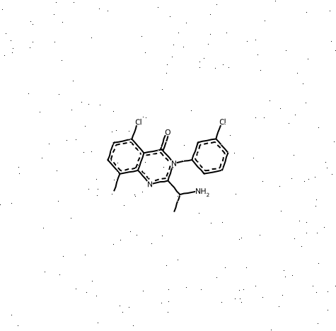 Cc1ccc(Cl)c2c(=O)n(-c3cccc(Cl)c3)c(C(C)N)nc12